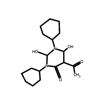 CC(=O)C1C(=O)N(C2CCCCC2)C(O)N(C2CCCCC2)C1O